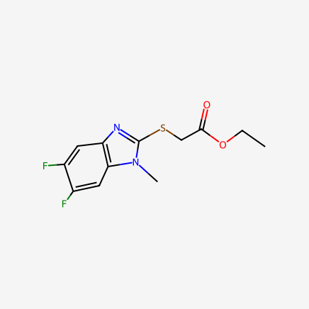 CCOC(=O)CSc1nc2cc(F)c(F)cc2n1C